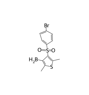 Bc1c(C)sc(C)c1S(=O)(=O)c1ccc(Br)cc1